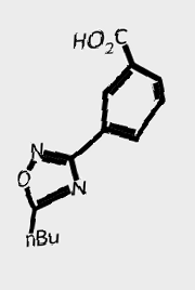 CCCCc1nc(-c2cccc(C(=O)O)c2)no1